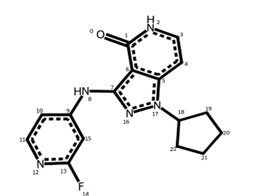 O=c1[nH]ccc2c1c(Nc1ccnc(F)c1)nn2C1CCCC1